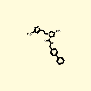 Cc1cc(CCN2C[C@H](O)C[C@H]2C(=O)NCc2ccc(-c3ccccc3)cc2)on1